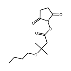 CCCCOC(C)(C)CC(=O)ON1C(=O)CCC1=O